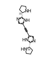 C(#Cc1cnc([C@@H]2CCCN2)[nH]1)c1cnc([C@@H]2CCCN2)[nH]1